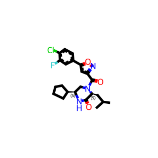 CC(C)C[C@H]1C(=O)N[C@@H](C2CCCC2)CN1C(=O)c1cc(-c2ccc(Cl)c(F)c2)on1